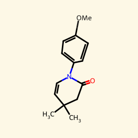 COc1ccc(N2C=CC(C)(C)CC2=O)cc1